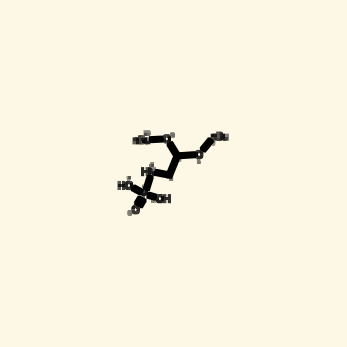 CCCCOC(CNP(=O)(O)O)OCCCC